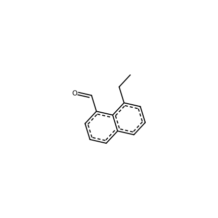 CCc1cccc2cccc(C=O)c12